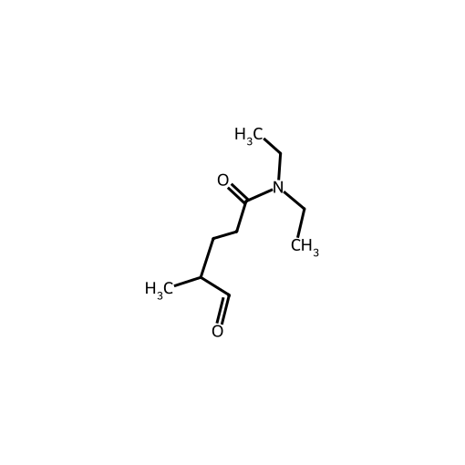 CCN(CC)C(=O)CCC(C)C=O